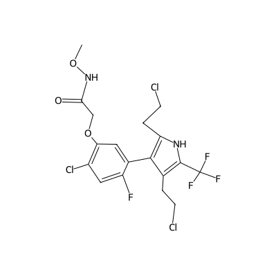 CONC(=O)COc1cc(-c2c(CCCl)[nH]c(C(F)(F)F)c2CCCl)c(F)cc1Cl